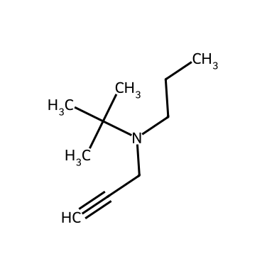 C#CCN(CCC)C(C)(C)C